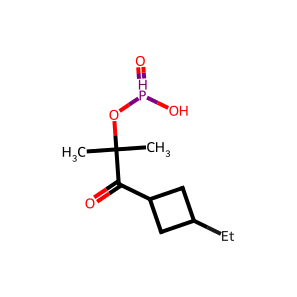 CCC1CC(C(=O)C(C)(C)O[PH](=O)O)C1